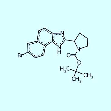 CC(C)(C)OC(=O)N1CCCC1c1nc2ccc3cc(Br)ccc3c2[nH]1